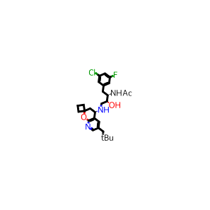 CC(=O)N[C@@H](Cc1cc(F)cc(Cl)c1)[C@@H](O)CN[C@H]1CC2(CCC2)Oc2ncc(CC(C)(C)C)cc21